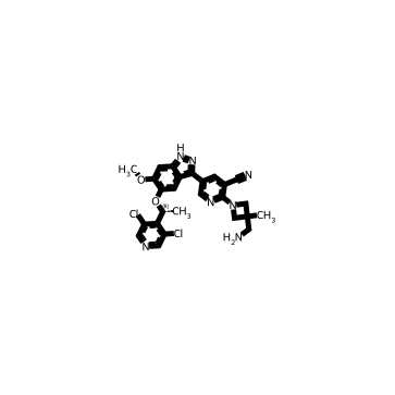 COc1cc2[nH]nc(-c3cnc(N4CC(C)(CN)C4)c(C#N)c3)c2cc1O[C@H](C)c1c(Cl)cncc1Cl